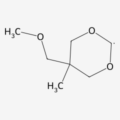 COCC1(C)CO[CH]OC1